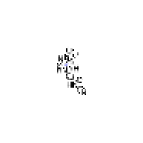 NC(=O)/C(=C1\Nc2ccc(C(=O)Nc3ccncc3)cc2N1)c1nccc(C(F)(F)F)n1